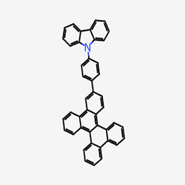 c1ccc2c(c1)c1ccccc1c1c3ccc(-c4ccc(-n5c6ccccc6c6ccccc65)cc4)cc3c3ccccc3c21